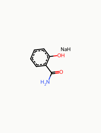 NC(=O)c1ccccc1O.[NaH]